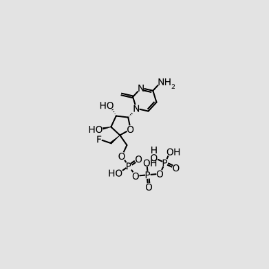 C=C1N=C(N)C=CN1[C@@H]1O[C@](CF)(COP(=O)(O)OP(=O)(O)OP(=O)(O)O)[C@@H](O)[C@@H]1O